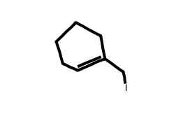 ICC1=CCCCC1